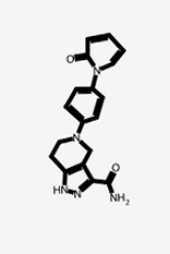 NC(=O)c1n[nH]c2c1CN(c1ccc(-n3ccccc3=O)cc1)CC2